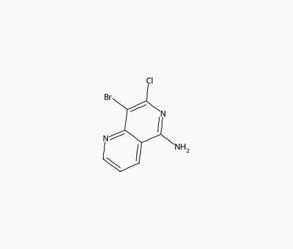 Nc1nc(Cl)c(Br)c2ncccc12